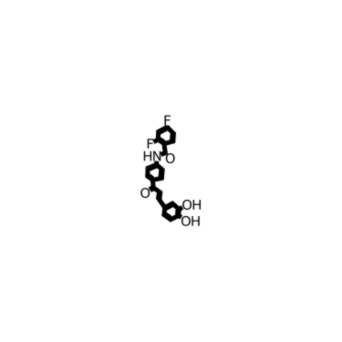 O=C(C=Cc1ccc(O)c(O)c1)c1ccc(NC(=O)c2ccc(F)cc2F)cc1